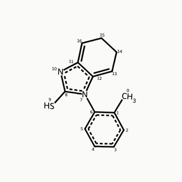 Cc1ccccc1-n1c(S)nc2c1=CCCC=2